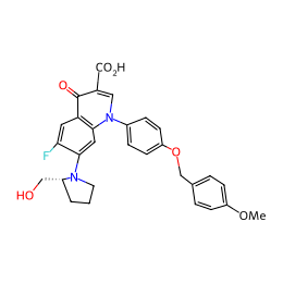 COc1ccc(COc2ccc(-n3cc(C(=O)O)c(=O)c4cc(F)c(N5CCC[C@@H]5CO)cc43)cc2)cc1